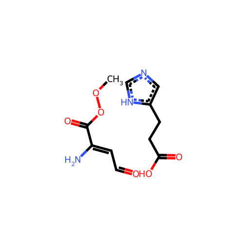 COOC(=O)/C(N)=C/C=O.O=C(O)CCc1cnc[nH]1